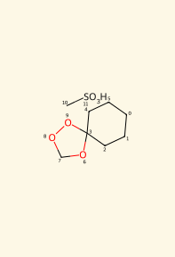 C1CCC2(CC1)OCOO2.CS(=O)(=O)O